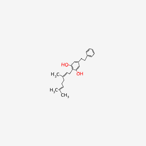 CC(C)=CCCC(C)=CCc1c(O)cc(CCc2ccccc2)cc1O